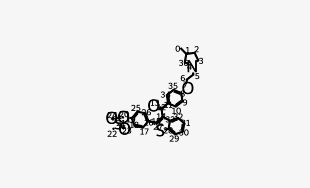 CC1CCN(CCOc2ccc(C(=O)c3c(-c4ccc(OS(C)(=O)=O)cc4)sc4ccccc34)cc2)C1